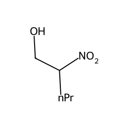 CCCC(CO)[N+](=O)[O-]